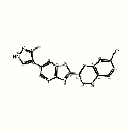 Cc1n[nH]cc1-c1ccc2nc(C3COc4ccc(I)cc4C3)oc2c1